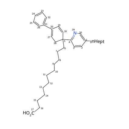 CCCCCCCc1ccc(C2(CCCCCCCCCCCC(=O)O)C=CC(c3ccccc3)=CC2)nc1